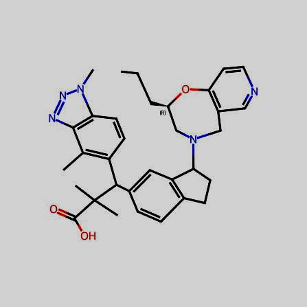 CCC[C@@H]1CN(C2CCc3ccc(C(c4ccc5c(nnn5C)c4C)C(C)(C)C(=O)O)cc32)Cc2cnccc2O1